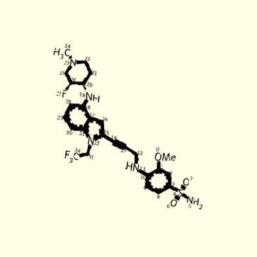 COc1cc(S(N)(=O)=O)ccc1NCC#Cc1cc2c(N[C@H]3CCN(C)C[C@@H]3F)cccc2n1CC(F)(F)F